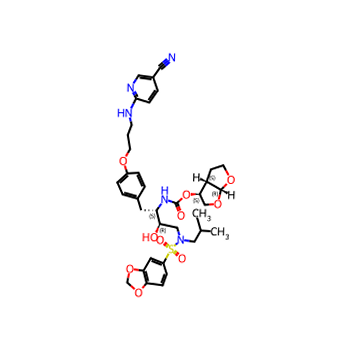 CC(C)CN(C[C@@H](O)[C@H](Cc1ccc(OCCCNc2ccc(C#N)cn2)cc1)NC(=O)O[C@@H]1CO[C@H]2OCC[C@H]21)S(=O)(=O)c1ccc2c(c1)OCO2